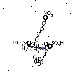 CC1(C)C(/C=C/C=C/C=C2/N(CCCCCC(=O)ON3C(=O)CCC3=O)c3ccc(S(=O)(=O)O)cc3C2(C)C)=[N+](CCOCCOCCOCCOCc2ccc([N+](=O)[O-])cc2)c2ccc(S(=O)(=O)O)cc21